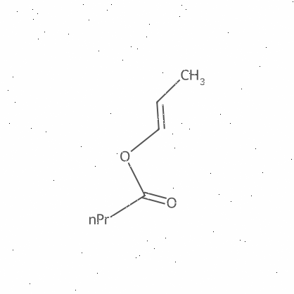 CC=COC(=O)CCC